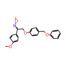 CO/N=C(\COc1ccc(COc2c[c]ccc2)cc1)c1ccc(OC)cc1